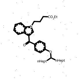 CCCCCCCC(CCCCCCC)Oc1ccc(C(=O)c2cn(CCCC(=O)OCC)c3ccccc23)cc1